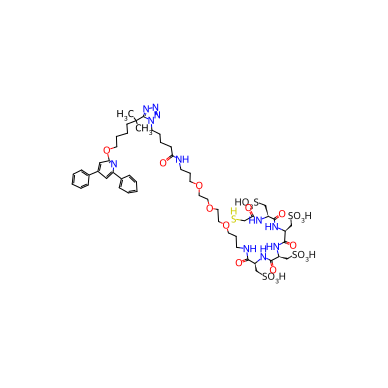 CC(C)(CCCCOc1cc(-c2ccccc2)cc(-c2ccccc2)n1)c1nnnn1CCCCC(=O)NCCCOCCOCCOCCCNC(=O)[C@H](CS(=O)(=O)O)NC(=O)[C@H](CS(=O)(=O)O)NC(=O)[C@H](CS(=O)(=O)O)NC(=O)[C@H](CS(=O)(=O)O)NC(=O)CS